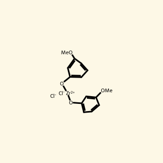 COc1cccc([O][Zr+2][O]c2cccc(OC)c2)c1.[Cl-].[Cl-]